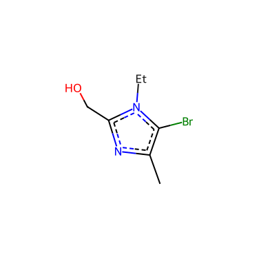 CCn1c(CO)nc(C)c1Br